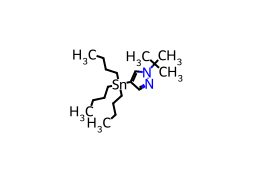 CCC[CH2][Sn]([CH2]CCC)([CH2]CCC)[c]1cnn(C(C)(C)C)c1